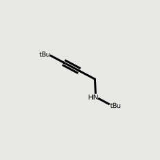 CC(C)(C)C#CCNC(C)(C)C